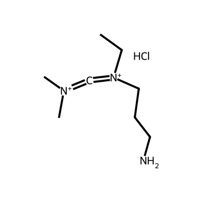 CC[N+](=C=[N+](C)C)CCCN.Cl